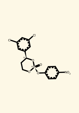 O=[N+]([O-])c1ccc(O[P@@]2(=O)OCC[C@@H](c3cc(Cl)cc(Cl)c3)O2)cc1